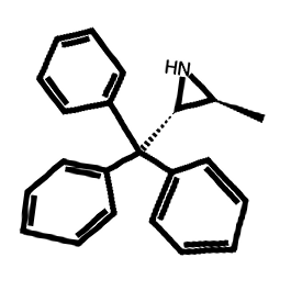 C[C@@H]1N[C@H]1C(c1ccccc1)(c1ccccc1)c1ccccc1